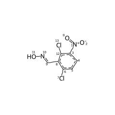 O=[N+]([O-])c1ccc(Cl)c(C=NO)c1Cl